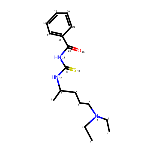 CCN(CC)CCCC(C)NC(=S)NC(=O)c1ccccc1